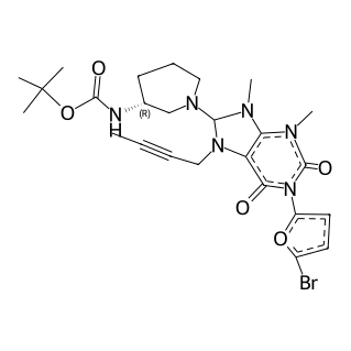 CC#CCN1c2c(n(C)c(=O)n(-c3ccc(Br)o3)c2=O)N(C)C1N1CCC[C@@H](NC(=O)OC(C)(C)C)C1